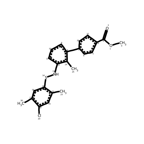 COC(=O)c1ccc(-c2cccc(NSc3cc(C)c(Cl)cc3C)c2C)cc1